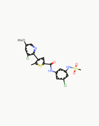 COc1cnc(-c2cc(C(=O)Nc3cc(Cl)cc(NS(C)(=O)=O)c3)sc2C)c(Cl)c1